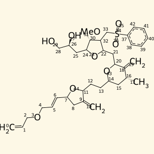 C=CCOC/C=C/C1CC(=C)C(CCC2C[C@@H](C)C(=C)C(CC3OC(C[C@H](O)CO)[C@H](OC)C3CS(=O)(=O)c3ccccc3)O2)O1